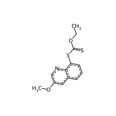 CCOC(=S)Sc1cccc2cc(OC)cnc12